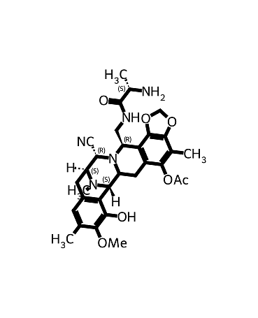 COc1c(C)cc2c(c1O)[C@H]1C3Cc4c(OC(C)=O)c(C)c5c(c4[C@H](CNC(=O)[C@H](C)N)N3[C@@H](C#N)[C@H](C2)N1C)OCO5